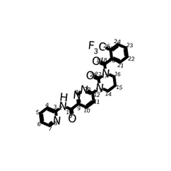 O=C(Nc1ccccn1)c1ccc(N2CCCN(C(=O)c3ccccc3C(F)(F)F)C2=O)nn1